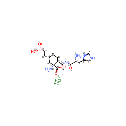 Cl.Cl.Cl.N[C@@H](Cc1c[nH]cn1)C(=O)NC[C@@H]1CC[C@@H](CCB(O)O)C[C@]1(N)C(=O)O